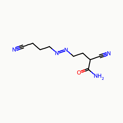 N#CCCCN=NCCC(C#N)C(N)=O